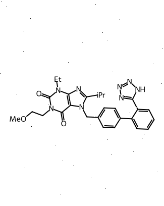 CCn1c(=O)n(CCOC)c(=O)c2c1nc(C(C)C)n2Cc1ccc(-c2ccccc2-c2nnn[nH]2)cc1